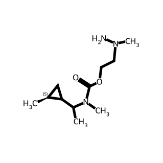 CC(C1C[C@@H]1C)N(C)C(=O)OCCN(C)N